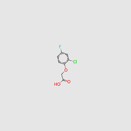 O=C(O)COc1ccc(F)cc1Cl